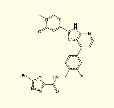 Cn1ccc(-c2nc3c(-c4ccc(CNC(=O)c5nnc(C(C)(C)C)o5)c(F)c4)ccnc3[nH]2)cc1=O